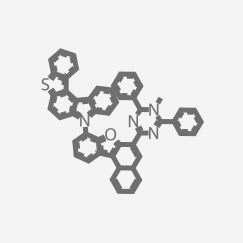 CN1C(c2ccccc2)=NC(C2=CC3C=CC=CC3c3c2oc2c(-n4c5ccccc5c5c6c(ccc54)sc4ccccc46)cccc32)=NC1c1ccccc1